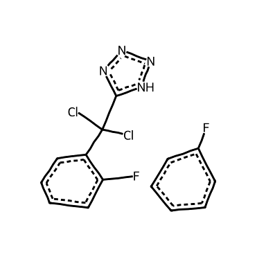 Fc1ccccc1.Fc1ccccc1C(Cl)(Cl)c1nnn[nH]1